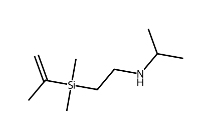 C=C(C)[Si](C)(C)CCNC(C)C